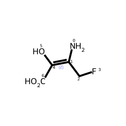 N/C(CF)=C(\O)C(=O)O